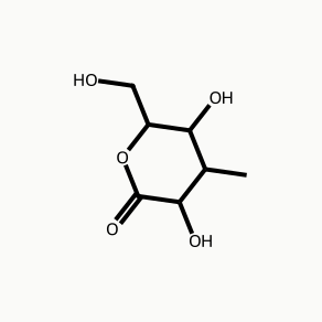 CC1C(O)C(=O)OC(CO)C1O